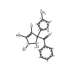 CCN1C(O)=C(Cl)C(C(=O)c2ccccc2)(c2cc(C)no2)N1Cl